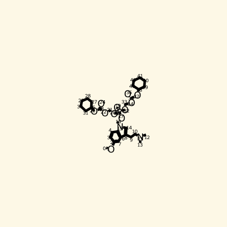 COc1ccc2c(c1)c(CCN(C)C)cn2COP(=O)(OCOC(=O)OC1CCCCC1)OCOC(=O)OC1CCCCC1